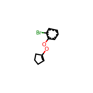 Brc1ccccc1OOC1=CCCC1